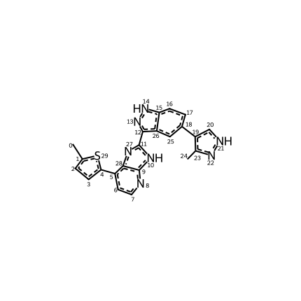 Cc1ccc(-c2ccnc3[nH]c(-c4n[nH]c5ccc(-c6c[nH]nc6C)cc45)nc23)s1